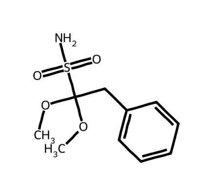 COC(Cc1ccccc1)(OC)S(N)(=O)=O